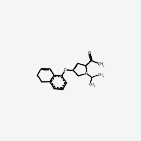 CC(=O)C1CC(Oc2cccc3c2C=CCC3)CN1C(C)C